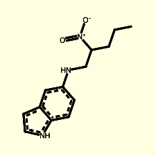 CCCC(CNc1ccc2[nH]ccc2c1)[N+](=O)[O-]